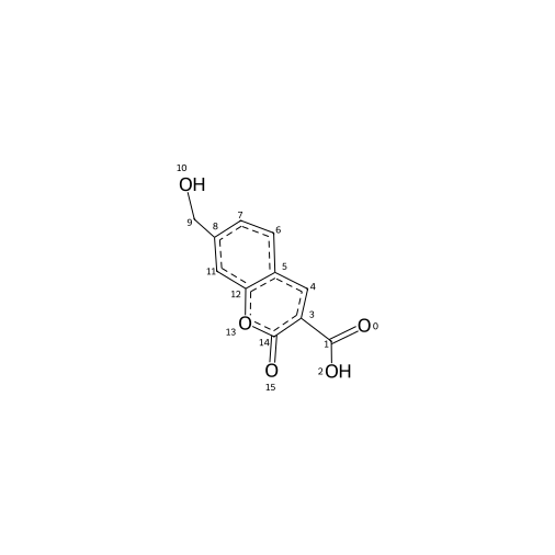 O=C(O)c1cc2ccc(CO)cc2oc1=O